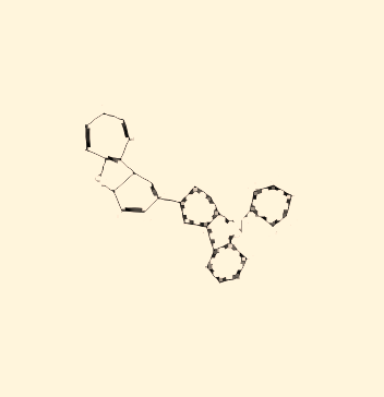 C1=CC2=C(C=CC1)C1C=C(c3ccc4c(c3)c3ccccc3n4-c3ccccc3)C=CC1S2